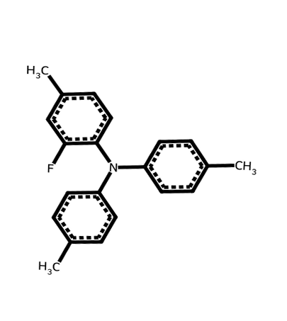 Cc1ccc(N(c2ccc(C)cc2)c2ccc(C)cc2F)cc1